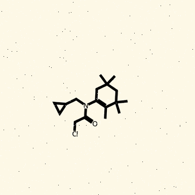 CC1=C(N(CC2CC2)C(=O)CCl)CC(C)(C)CC1(C)C